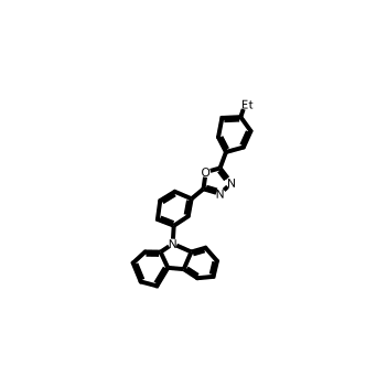 CCc1ccc(-c2nnc(-c3cccc(-n4c5ccccc5c5ccccc54)c3)o2)cc1